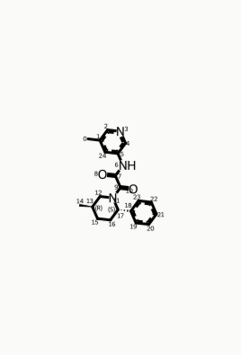 Cc1cncc(NC(=O)C(=O)N2C[C@H](C)CC[C@H]2c2ccccc2)c1